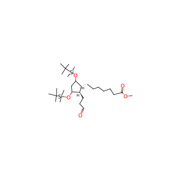 COC(=O)CCCCCC[C@H]1C(O[Si](C)(C)C(C)(C)C)CC(O[Si](C)(C)C(C)(C)C)[C@@H]1CCC=O